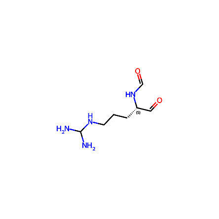 NC(N)NCCC[C@@H](C=O)NC=O